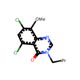 COc1c(Cl)cc(Cl)c2c(=O)n(CC(C)C)cnc12